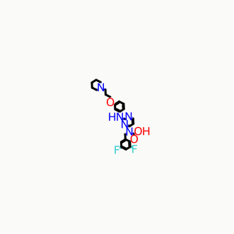 O=C(O)N(Cc1cc(F)cc(F)c1)c1ccnc(Nc2cccc(OCCCN3CCCCC3)c2)n1